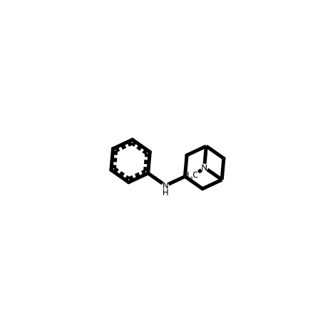 CN1C2CC(Nc3ccccc3)CC1C2